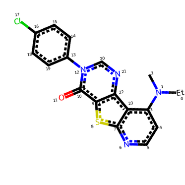 CCN(C)c1ccnc2sc3c(=O)n(-c4ccc(Cl)cc4)cnc3c12